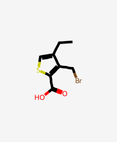 CCc1csc(C(=O)O)c1CBr